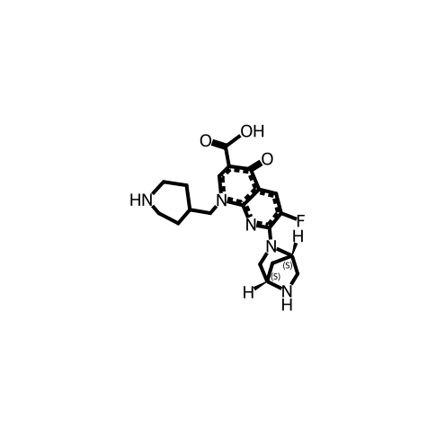 O=C(O)c1cn(CC2CCNCC2)c2nc(N3C[C@@H]4C[C@H]3CN4)c(F)cc2c1=O